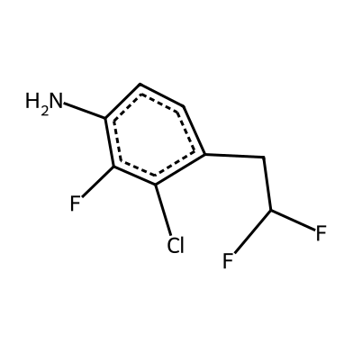 Nc1ccc(CC(F)F)c(Cl)c1F